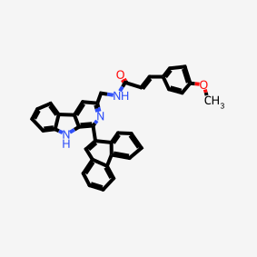 COc1ccc(/C=C/C(=O)NCc2cc3c([nH]c4ccccc43)c(-c3cc4ccccc4c4ccccc34)n2)cc1